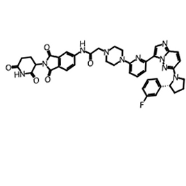 O=C1CCC(N2C(=O)c3ccc(NC(=O)CN4CCN(c5cccc(-c6cnc7ccc(N8CCC[C@@H]8c8cccc(F)c8)nn67)n5)CC4)cc3C2=O)C(=O)N1